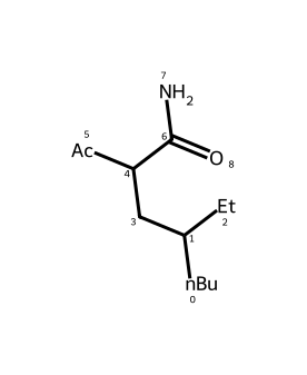 CCCCC(CC)CC(C(C)=O)C(N)=O